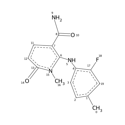 Cc1ccc(Nc2c(C(N)=O)ccc(=O)n2C)c(F)c1